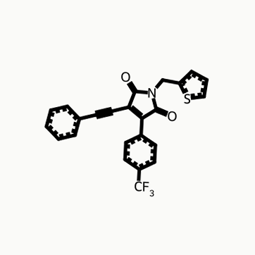 O=C1C(C#Cc2ccccc2)=C(c2ccc(C(F)(F)F)cc2)C(=O)N1Cc1cccs1